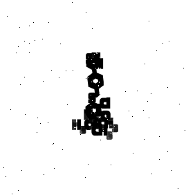 CC(C)(C)n1ncc(SCc2ccc(-c3csnn3)cc2)c(Cl)c1=O